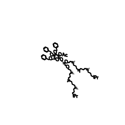 CC(=O)O[C@@H]1[C@@H](OC[C@@H](COCC[C@H](C)CCC[C@H](C)CCC[C@H](C)CCCC(C)C)OCC[C@H](C)CCC[C@H](C)CCC[C@H](C)CCCC(C)C)O[C@H](COCc2ccccc2)[C@@H](OCc2ccccc2)[C@@H]1OCc1ccccc1